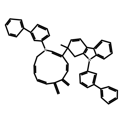 C=C1/C=C\C=C/CN(c2cccc(-c3ccccc3)c2)/C=C(C2(C)C=Cc3c(n(-c4cccc(-c5ccccc5)c4)c4ccccc34)C2)\C=C/C1=C